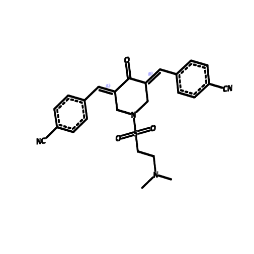 CN(C)CCS(=O)(=O)N1C/C(=C\c2ccc(C#N)cc2)C(=O)/C(=C/c2ccc(C#N)cc2)C1